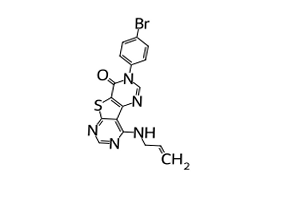 C=CCNc1ncnc2sc3c(=O)n(-c4ccc(Br)cc4)cnc3c12